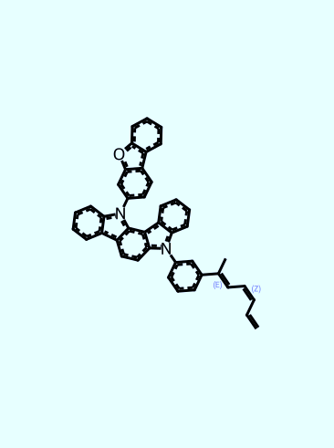 C=C/C=C\C=C(/C)c1cccc(-n2c3ccccc3c3c2ccc2c4ccccc4n(-c4ccc5c(c4)oc4ccccc45)c23)c1